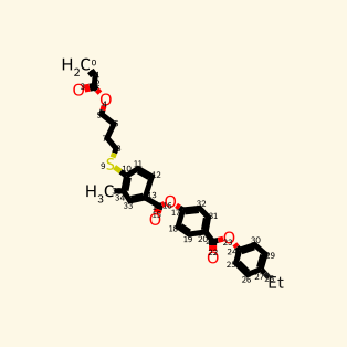 C=CC(=O)OCCCCSc1ccc(C(=O)Oc2ccc(C(=O)Oc3ccc(CC)cc3)cc2)cc1C